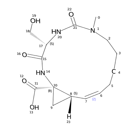 CN1CCCC/C=C\[C@@H]2C[C@@]2(C(=O)O)NC(=O)[C@H](CO)NC1=O